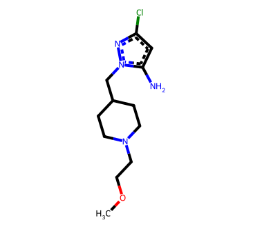 COCCN1CCC(Cn2nc(Cl)cc2N)CC1